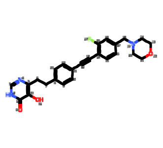 O=c1[nH]cnc(CCc2ccc(C#Cc3ccc(CN4CCOCC4)cc3F)cc2)c1O